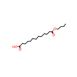 CCCCOC(=O)CCCCCCCCCCCC(=O)O